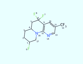 FC1CCC2CC(F)(F)c3cc(C(F)(F)F)cnc3N2C1